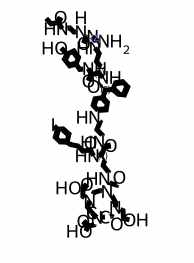 CCC(=O)NCCNC(=O)/N=C(/N)NCCC[C@@H](NC(=O)[C@@H](c1ccccc1)c1ccc(NCCCNC(=O)[C@@H](CCCNC(C=O)N2CCN(CC(=O)O)CCN(CC(=O)O)CCN(CC(=O)O)CC2)NC(=O)CCCc2ccc(I)cc2)cc1)C(=O)NCc1ccc(O)cc1